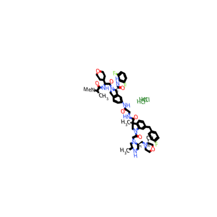 CNC(C)C(=O)NC(C(=O)N1Cc2ccc(NC(=O)CNC(=O)[C@@]3(C)CN(C(=O)CN4CC(C)NC[C@@H]4CN4CCOC[C@H]4C)c4cc(Cc5ccc(F)cc5)ccc43)cc2[C@H]1C(=O)Nc1c(F)cccc1F)C1CCOCC1.Cl.Cl.Cl